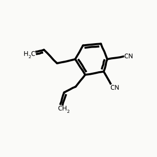 C=CCc1ccc(C#N)c(C#N)c1CC=C